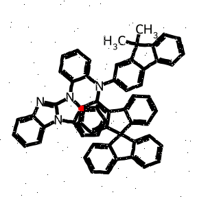 CC1(C)c2ccccc2-c2ccc(N(c3ccccc3-n3c4ccccc4n4c5ccccc5nc34)c3cccc4c3-c3ccccc3C43c4ccccc4-c4ccccc43)cc21